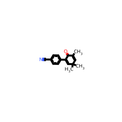 CC1=CC(C)(C)C=C(c2ccc(C#N)cc2)C1=O